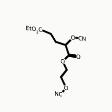 CCOC(=O)CCC(OC#N)C(=O)OCCOC#N